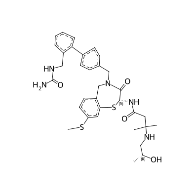 CSc1ccc2c(c1)S[C@@H](NC(=O)CC(C)(C)NC[C@@H](C)O)C(=O)N(Cc1ccc(-c3ccccc3CNC(N)=O)cc1)C2